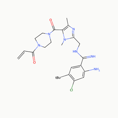 C=CC(=O)N1CCN(C(=O)c2c(C)nc(CNC(=N)c3cc(C(C)(C)C)c(Cl)cc3N)n2C)CC1